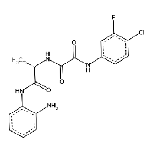 C[C@H](NC(=O)C(=O)Nc1ccc(Cl)c(F)c1)C(=O)Nc1ccccc1N